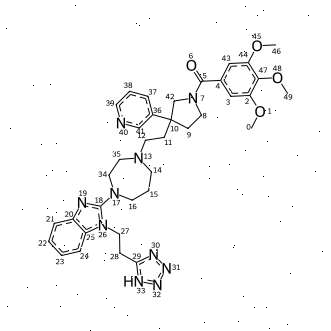 COc1cc(C(=O)N2CCC(CCN3CCCN(c4nc5ccccc5n4CCc4nnn[nH]4)CC3)(c3cccnc3)C2)cc(OC)c1OC